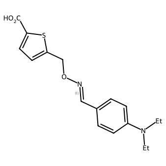 CCN(CC)c1ccc(/C=N/OCc2ccc(C(=O)O)s2)cc1